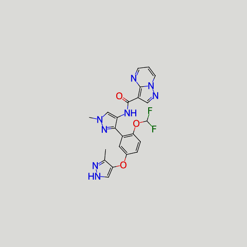 Cc1n[nH]cc1Oc1ccc(OC(F)F)c(-c2nn(C)cc2NC(=O)c2cnn3cccnc23)c1